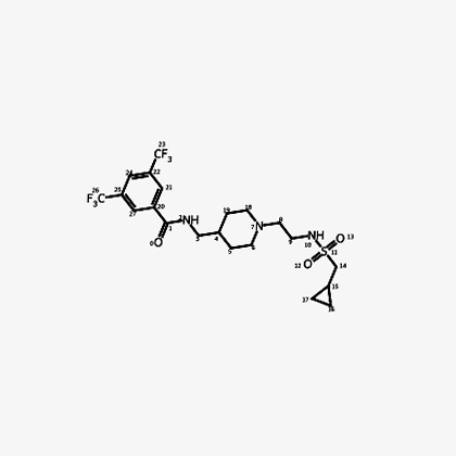 O=C(NCC1CCN(CCNS(=O)(=O)CC2CC2)CC1)c1cc(C(F)(F)F)cc(C(F)(F)F)c1